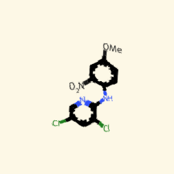 COc1ccc(Nc2ncc(Cl)cc2Cl)c([N+](=O)[O-])c1